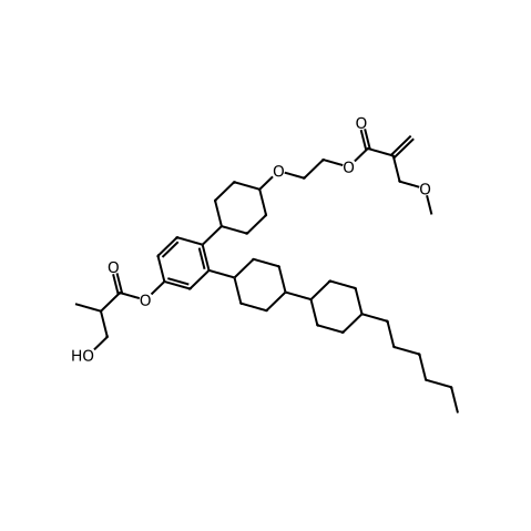 C=C(COC)C(=O)OCCOC1CCC(c2ccc(OC(=O)C(C)CO)cc2C2CCC(C3CCC(CCCCCC)CC3)CC2)CC1